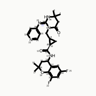 CC1(C)CC(=O)N(CC2C[C@H]2C(=O)NC2CC(C)(C)Oc3c(F)cc(F)cc32)/C(=N\c2ccncc2)N1